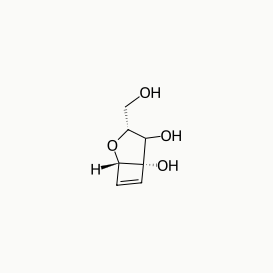 OC[C@H]1O[C@H]2C=C[C@]2(O)C1O